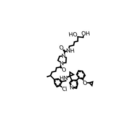 CC(CCCC(=O)N1CCN(C(=O)NCCCC[C@H](O)CO)CC1)c1ccc(Cl)c(CNC2(c3cnccc3-c3ccccc3OC3CC3)CC2)c1